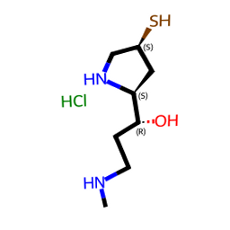 CNCC[C@@H](O)[C@@H]1C[C@H](S)CN1.Cl